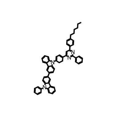 CCCCCCc1ccc(-c2cc(C3=CC=C(n4c5ccccc5c5cc(-c6ccc7c(c6)c6ccccc6n7-c6ccccc6)ccc54)CC3)nc(-c3ccccc3)n2)cc1